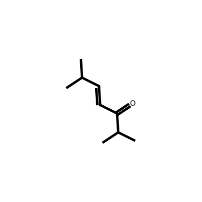 CC(C)C=CC(=O)C(C)C